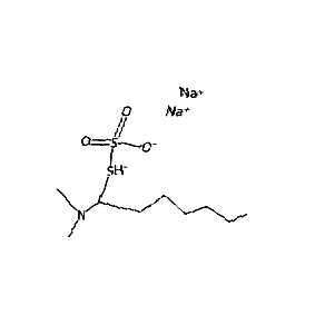 CCCCCCC([SH-]S(=O)(=O)[O-])N(C)C.[Na+].[Na+]